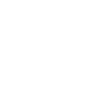 OCCOCCOCCOc1cccc(OCCOCCOCCO)c1